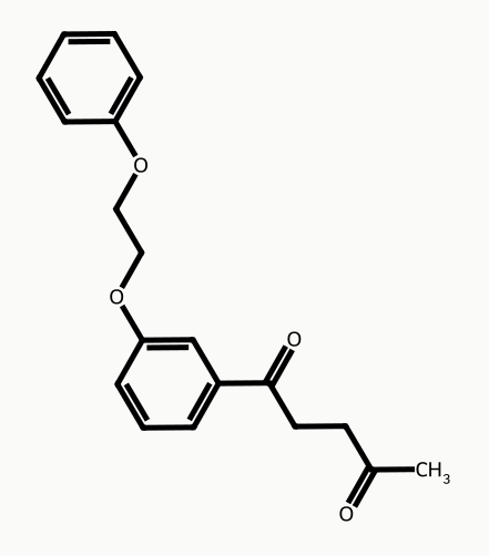 CC(=O)CCC(=O)c1cccc(OCCOc2ccccc2)c1